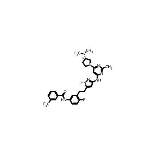 Cc1nc(Nc2cc(CCc3cc(NC(=O)c4cccc(C(F)(F)F)c4)ccc3F)[nH]n2)cc(N2CC[C@H](N(C)C)C2)n1